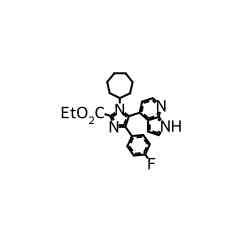 CCOC(=O)c1nc(-c2ccc(F)cc2)c(-c2ccnc3[nH]ccc23)n1C1CCCCCC1